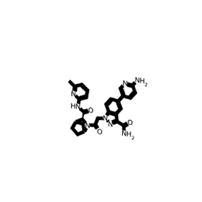 Cc1cccc(NC(=O)[C@@H]2C3CCC(C3)N2C(=O)Cn2nc(C(N)=O)c3cc(-c4ccc(N)nc4)ccc32)n1